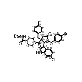 CCNC(=O)N1CCN(C(=O)[C@]2(Sc3ccc(C)cc3)CC(=O)N(Cc3ccc(Br)cc3)C2c2c[nH]c3cc(Cl)ccc23)CC1